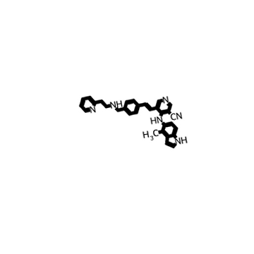 Cc1c(Nc2c(C#N)cncc2C=Cc2ccc(CNCCc3ccccn3)cc2)ccc2[nH]ccc12